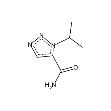 CC(C)n1nncc1C(N)=O